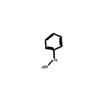 [SeH][Te]c1ccccc1